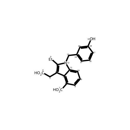 CCc1c(CC(=O)O)c2c(C(=O)O)cccc2n1Cc1cccc(O)c1